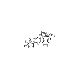 CS(=O)(=O)c1ccccc1C1(c2ccc(NC(=O)C(F)(F)F)cc2)C=NNC1